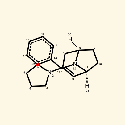 C1=C(N2CCCC2)C[C@H]2CC[C@@H]1N2Cc1ccccc1